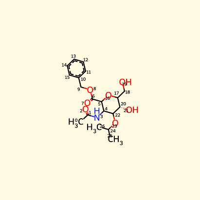 CC(=O)NC1C(C(=O)OCc2ccccc2)OC(CO)[C@H](O)C1OC(C)C